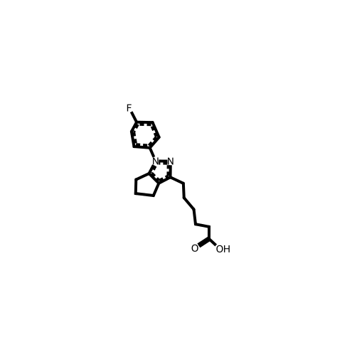 O=C(O)CCCCCc1nn(-c2ccc(F)cc2)c2c1CCC2